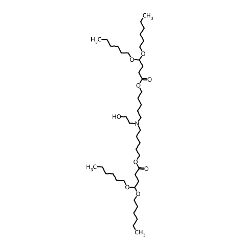 CCCCCCOC(CCC(=O)OCCCCCN(CCO)CCCCCOC(=O)CCC(OCCCCCC)OCCCCCC)OCCCCCC